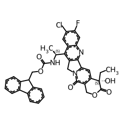 CC[C@@]1(O)C(=O)OCc2c1cc1n(c2=O)Cc2c-1nc1cc(F)c(Cl)cc1c2[C@H](C)NC(=O)OCC1c2ccccc2-c2ccccc21